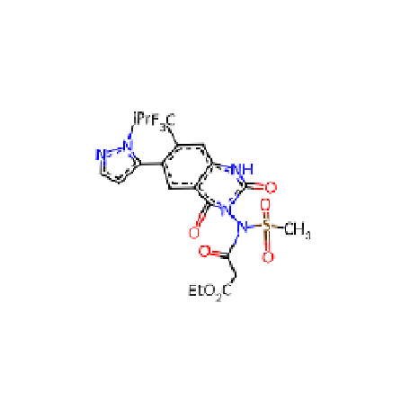 CCOC(=O)CC(=O)N(n1c(=O)[nH]c2cc(C(F)(F)F)c(-c3ccnn3C(C)C)cc2c1=O)S(C)(=O)=O